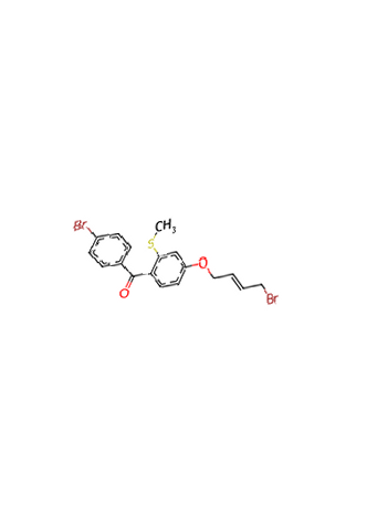 CSc1cc(OC/C=C/CBr)ccc1C(=O)c1ccc(Br)cc1